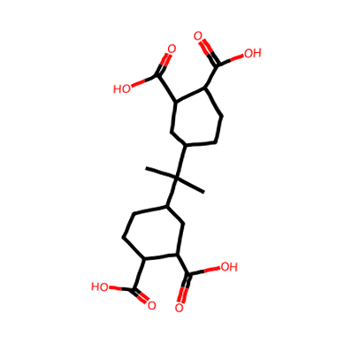 CC(C)(C1CCC(C(=O)O)C(C(=O)O)C1)C1CCC(C(=O)O)C(C(=O)O)C1